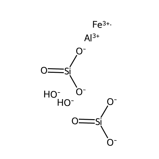 O=[Si]([O-])[O-].O=[Si]([O-])[O-].[Al+3].[Fe+3].[OH-].[OH-]